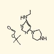 CC(C)(C)OC=O.CCNc1cc(N2CCNCC2)ncn1